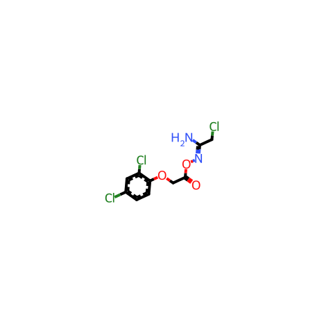 NC(CCl)=NOC(=O)COc1ccc(Cl)cc1Cl